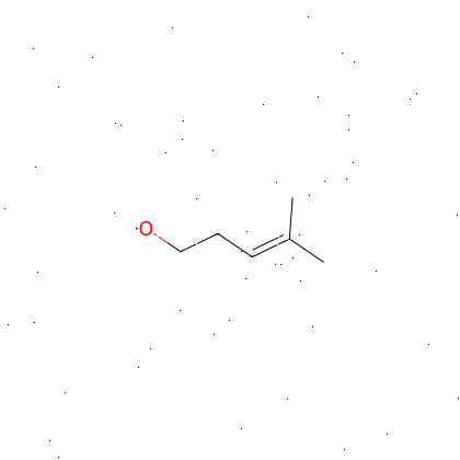 CC(C)=CCC[O]